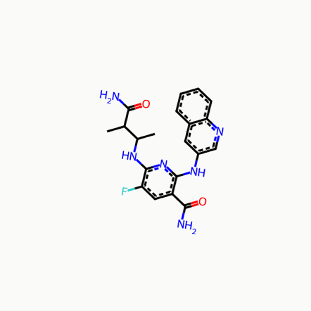 CC(Nc1nc(Nc2cnc3ccccc3c2)c(C(N)=O)cc1F)C(C)C(N)=O